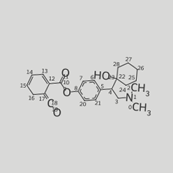 CN(C)CC(c1ccc(OC(=O)C2=CC=CCC2=C=O)cc1)C1(O)CCCCC1